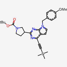 COc1ccc(Cn2ccc3c(C#C[Si](C)(C)C)nc(C4CCN(C(=O)OC(C)(C)C)C4)nc32)cc1